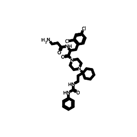 NCCC(=O)NC(Cc1ccc(Cl)cc1Cl)C(=O)N1CCN(C2(CCNC(=O)Nc3ccccc3)CCCCC2)CC1